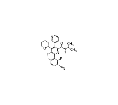 CC(C)NC(=O)c1nc(-c2c(F)ccc(C#N)c2F)c(F)c(C2CCCCO2)c1-c1cccnc1